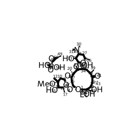 CC[C@H]1OC(=O)[C@H](C)[C@@H](O[C@H]2C[C@@](C)(OC)[C@@H](O)[C@H](C)O2)[C@H](C)[C@@H](O[C@@H]2O[C@H](C)C[C@H](N(C)C)[C@H]2O)[C@](C)(O)C[C@@H](C)C(=O)[C@H](C)[C@@H](O)[C@]1(C)O.C[C@@H]1O[C@@H]1P(=O)(O)O